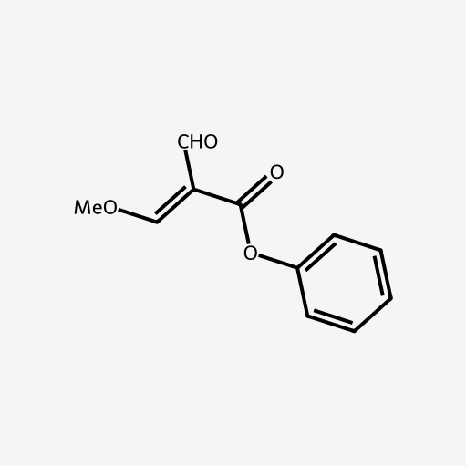 COC=C(C=O)C(=O)Oc1ccccc1